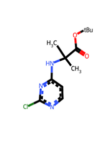 CC(C)(C)OC(=O)C(C)(C)Nc1ccnc(Cl)n1